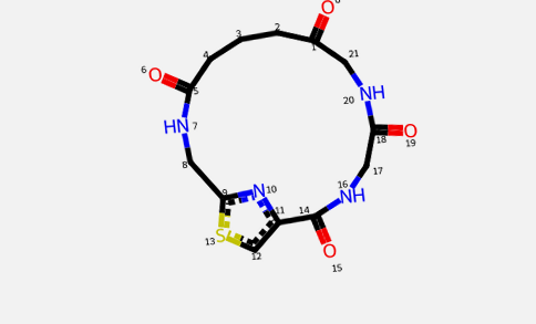 O=C1CCCC(=O)NCc2nc(cs2)C(=O)NCC(=O)NC1